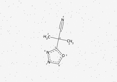 CC(C)(C#N)c1nnco1